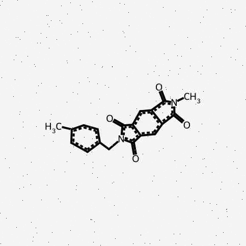 Cc1ccc(Cn2c(=O)c3cc4c(=O)n(C)c(=O)c4cc3c2=O)cc1